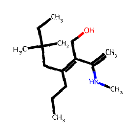 C=C(NC)/C(CO)=C(\CCC)CC(C)(C)CC